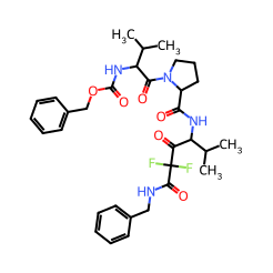 CC(C)C(NC(=O)OCc1ccccc1)C(=O)N1CCCC1C(=O)NC(C(=O)C(F)(F)C(=O)NCc1ccccc1)C(C)C